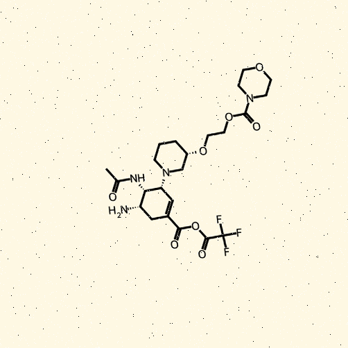 CC(=O)N[C@@H]1[C@H](N2CCC[C@H](OCCOC(=O)N3CCOCC3)C2)C=C(C(=O)OC(=O)C(F)(F)F)C[C@@H]1N